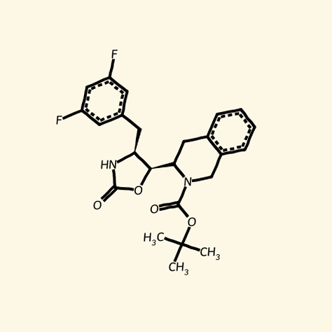 CC(C)(C)OC(=O)N1Cc2ccccc2CC1[C@H]1OC(=O)N[C@H]1Cc1cc(F)cc(F)c1